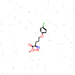 COC(=O)C(CCCOc1ccc(F)cc1)=NO